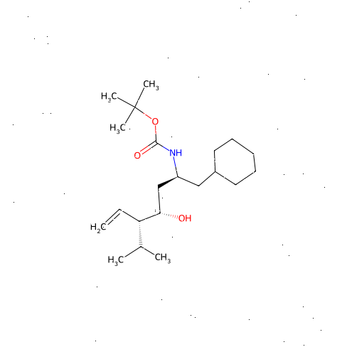 C=C[C@@H](C(C)C)[C@@H](O)C[C@H](CC1CCCCC1)NC(=O)OC(C)(C)C